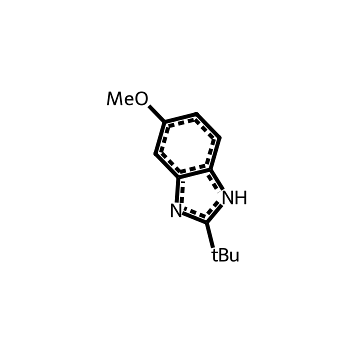 COc1ccc2[nH]c(C(C)(C)C)nc2c1